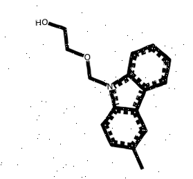 Cc1ccc2c(c1)c1ccccc1n2COCCO